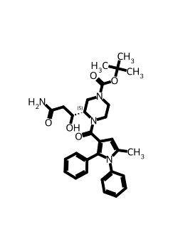 Cc1cc(C(=O)N2CCN(C(=O)OC(C)(C)C)C[C@H]2C(O)CC(N)=O)c(-c2ccccc2)n1-c1ccccc1